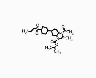 CC(=O)N1C2CCC(C3CCC(S(=O)(=O)CCN)CC3)CC2N(C(=O)OC(C)C)C[C@@H]1C